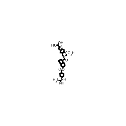 N=C(N)Nc1ccc(C(=O)Oc2ccc3c(C(=O)N(CC(=O)O)Cc4ccc5sc(C(O)O)cc5c4)cccc3c2)cc1